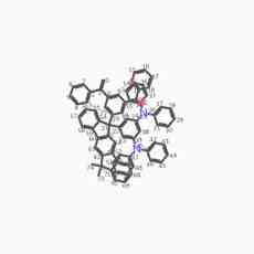 C=C(c1ccccc1)c1cc(C(=O)c2ccccc2)cc(C2(c3cc(N(c4ccccc4)c4ccccc4)cc(N(c4ccccc4)c4ccccc4)c3)c3ccccc3-c3cc4c(cc32)-c2ccccc2C4(C)C)c1